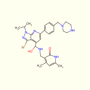 Cc1cc(C)c(CNC(O)c2cc(-c3ccc(CN4CCNCC4)cc3)nc3c2c(Br)nn3C(C)C)c(=O)[nH]1